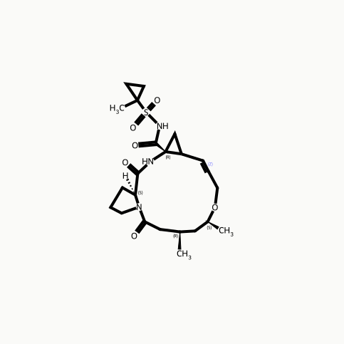 C[C@H]1CC(=O)N2CCC[C@H]2C(=O)N[C@]2(C(=O)NS(=O)(=O)C3(C)CC3)CC2/C=C\CO[C@@H](C)C1